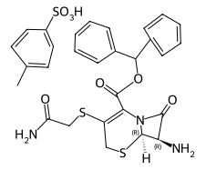 Cc1ccc(S(=O)(=O)O)cc1.NC(=O)CSC1=C(C(=O)OC(c2ccccc2)c2ccccc2)N2C(=O)[C@@H](N)[C@H]2SC1